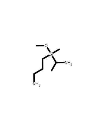 CO[Si](C)(CCCN)C(C)N